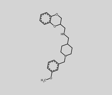 COc1cccc(CN2CCC(CNCC3COc4ccccc4O3)CC2)c1